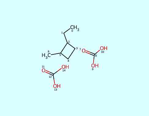 CCC1CCC1C.O=C(O)O.O=C(O)O